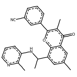 Cc1cc(C(C)Nc2cccnc2C)c2oc(-c3cccc(C#N)c3)c(C)c(=O)c2c1